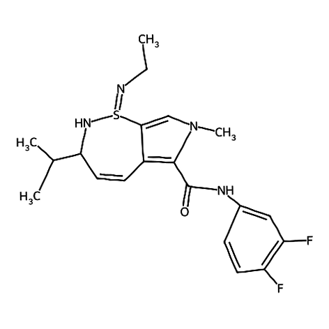 CC/N=S1/NC(C(C)C)C=Cc2c1cn(C)c2C(=O)Nc1ccc(F)c(F)c1